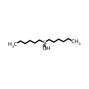 CCCCCC[SiH](O)CCCCCC